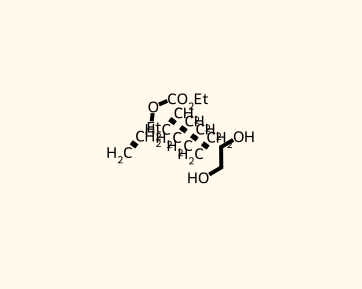 C=C.C=C.C=C.C=C.C=C.CCOC(=O)OCC.OCCO